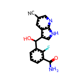 N#Cc1cnc2[nH]cc(C(O)c3cccc(C(N)=O)c3F)c2c1